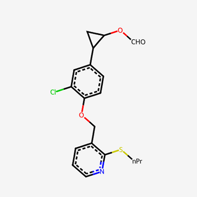 CCCSc1ncccc1COc1ccc(C2CC2OC=O)cc1Cl